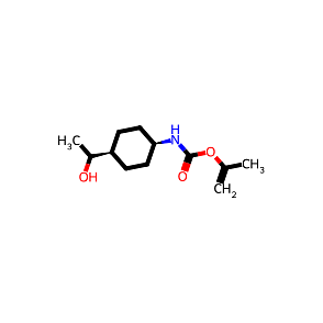 C=C(C)OC(=O)N[C@H]1CC[C@@H](C(C)O)CC1